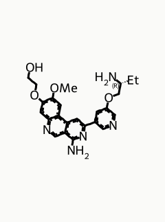 CC[C@@H](N)COc1cncc(-c2cc3c(cnc4cc(OCCO)c(OC)cc43)c(N)n2)c1